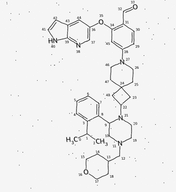 CC(C)c1ccccc1C1CN(CC2CCOCC2)CCN1C1CC2(CCN(c3ccc(C=O)c(Oc4cnc5[nH]ccc5c4)c3)CC2)C1